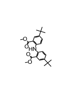 COC(=O)c1cc(C(C)(C)C)ccc1Nc1ccc(C(C)(C)C)cc1C(=O)OC